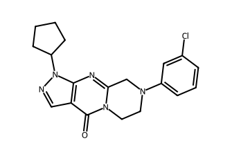 O=c1c2cnn(C3CCCC3)c2nc2n1CCN(c1cccc(Cl)c1)C2